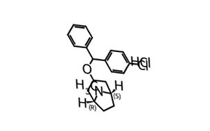 CN1[C@@H]2CC[C@H]1CC(OC(c1ccccc1)c1ccc(Cl)cc1)C2.Cl